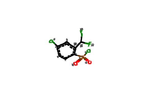 O=S(=O)(Cl)c1ccc(Cl)cc1C(F)F